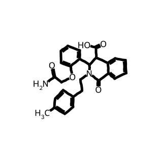 Cc1ccc(CCN2C(=O)c3ccccc3C(C(=O)O)C2c2ccccc2OCC(N)=O)cc1